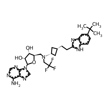 CC(C)(C)c1ccc2[nH]c(CC[C@H]3C[C@@H](N(C[C@H]4O[C@@H](n5cnc6c(N)ncnc65)[C@H](O)[C@@H]4O)CC(F)(F)F)C3)nc2c1